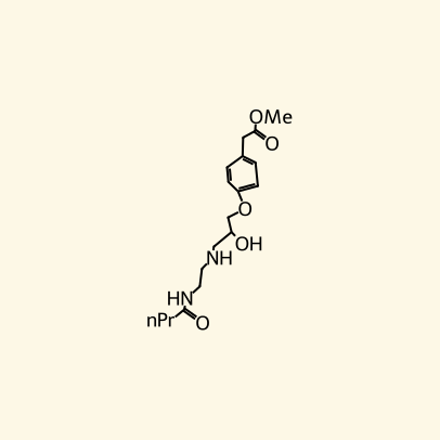 CCCC(=O)NCCNCC(O)COc1ccc(CC(=O)OC)cc1